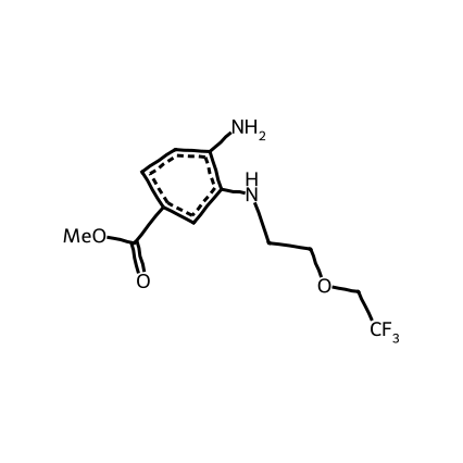 COC(=O)c1ccc(N)c(NCCOCC(F)(F)F)c1